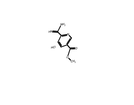 COC(=O)c1ccc(C(=N)N)nc1.Cl